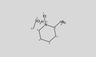 CCCCC1CCCCN1CC.CS(=O)(=O)O